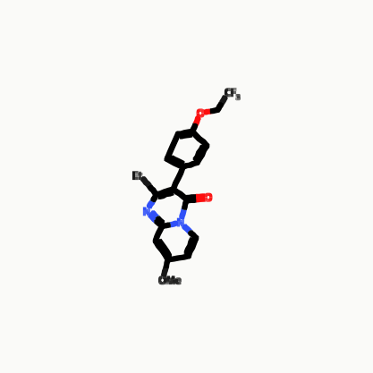 CCc1nc2cc(OC)ccn2c(=O)c1-c1ccc(OCC(F)(F)F)cc1